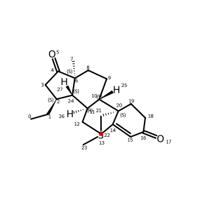 CC[C@H]1CC(=O)[C@@]2(C)CC[C@H]3[C@@H](CCC4=CC(=O)CC[C@@]43CSC)[C@H]12